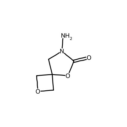 NN1CC2(COC2)OC1=O